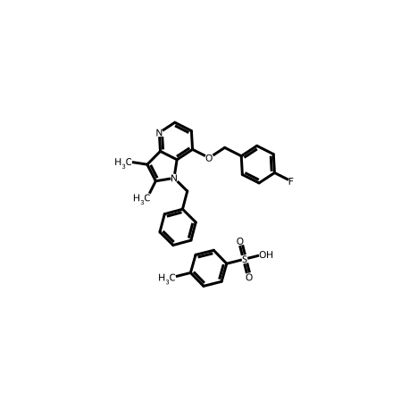 Cc1c(C)n(Cc2ccccc2)c2c(OCc3ccc(F)cc3)ccnc12.Cc1ccc(S(=O)(=O)O)cc1